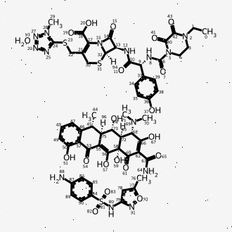 CCN1CCN(C(=O)N[C@@H](C(=O)N[C@@H]2C(=O)N3C(C(=O)O)=C(CSc4nnnn4C)CS[C@H]23)c2ccc(O)cc2)C(=O)C1=O.C[C@H]1c2cccc(O)c2C(=O)C2=C(O)[C@]3(O)C(=O)C(C(N)=O)=C(O)[C@@H](N(C)C)[C@@H]3[C@@H](O)[C@@H]21.Cc1cc(NS(=O)(=O)c2ccc(N)cc2)no1.O